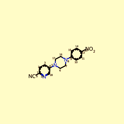 N#Cc1ccc(N2CCN(c3ccc([N+](=O)[O-])cc3)CC2)cn1